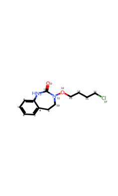 O=C1Nc2ccccc2CCN1OCCCCCl